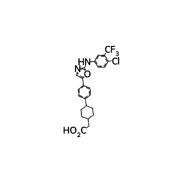 O=C(O)CC1CCC(c2ccc(-c3cnc(Nc4ccc(Cl)c(C(F)(F)F)c4)o3)cc2)CC1